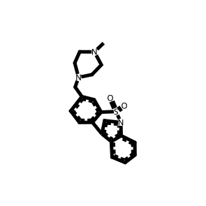 CN1CCN(Cc2ccc3c(c2)S(=O)(=O)n2cc-3c3ccccc32)CC1